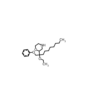 CCCCCCCCC(COc1ccccc1)(OCC)C1CNCCO1